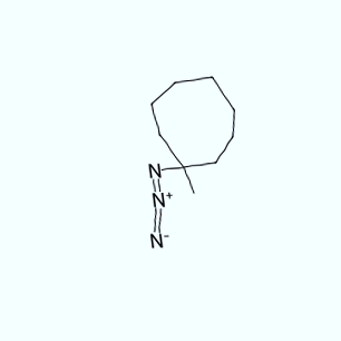 CC1(N=[N+]=[N-])CCCCCCC1